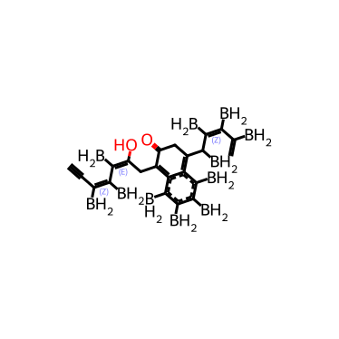 BC(=C)/C(B)=C(/B)C(B)C1=c2c(B)c(B)c(B)c(B)c2=C(C/C(O)=C(B)\C(B)=C(\B)C#C)C(=O)C1